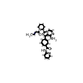 C/C=C/C(=O)N1CCCC[C@H]1c1nc(C2=CC=C(C(=O)Nc3ccccn3)C=CC2)c2c(N)nccn12